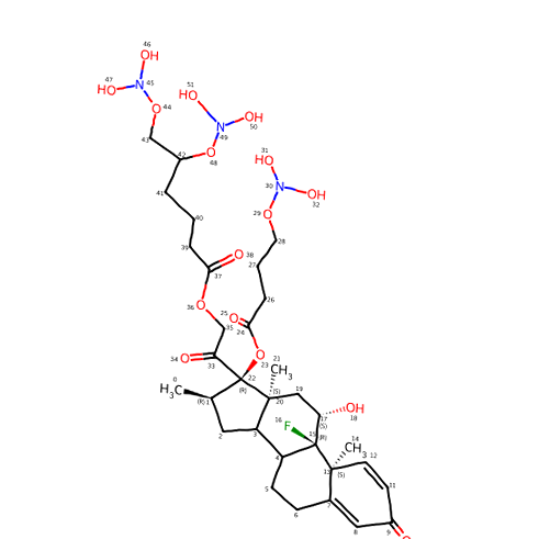 C[C@@H]1CC2C3CCC4=CC(=O)C=C[C@]4(C)[C@@]3(F)[C@@H](O)C[C@]2(C)[C@@]1(OC(=O)CCCON(O)O)C(=O)COC(=O)CCCC(CON(O)O)ON(O)O